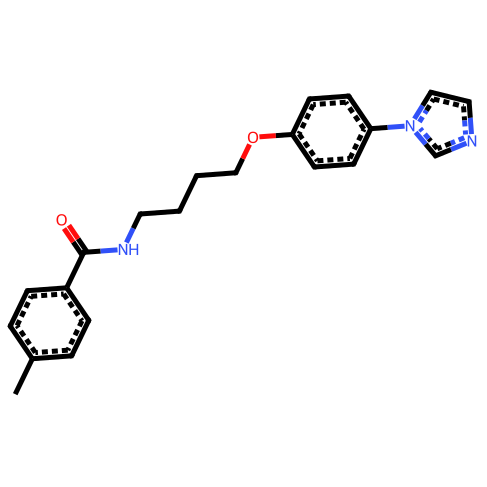 Cc1ccc(C(=O)NCCCCOc2ccc(-n3ccnc3)cc2)cc1